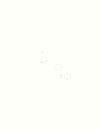 Cc1cc(Oc2ccc(COc3cc4n(c(=O)n3)CC(C)(C)N4)cc2C#N)ccn1